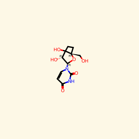 O=c1ccn([C@@H]2O[C@@]3(CO)CCC3(O)[C@H]2O)c(=O)[nH]1